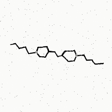 CCCCCN1CCC(CCC2CCN(CCCCC)CC2)CC1